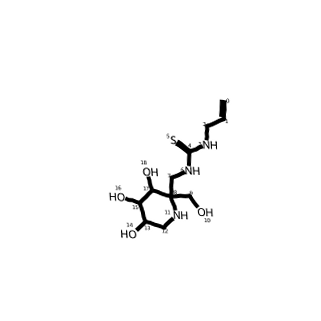 C=CCNC(=S)NCC1(CO)NCC(O)C(O)C1O